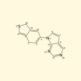 C1=C2CC=C(n3ccc4cncnc43)C=C2CS1